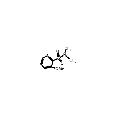 COc1cccnc1S(=O)(=O)N(C)C